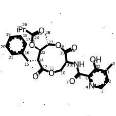 Cc1ccnc(C(=O)NC2COC(=O)[C@H](Cc3ccccc3)[C@@H](OC(=O)C(C)C)[C@H](C)OC2=O)c1O